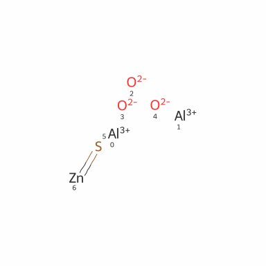 [Al+3].[Al+3].[O-2].[O-2].[O-2].[S]=[Zn]